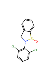 [O-][S+]1c2ccccc2CN1c1c(Cl)cccc1Cl